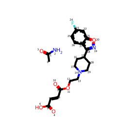 CC(N)=O.O=C(O)/C=C/C(=O)OCCN1CCC(c2noc3cc(F)ccc23)CC1